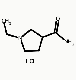 CCN1CCC(C(N)=O)C1.Cl